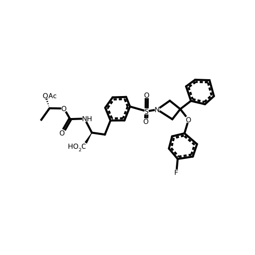 CC(=O)O[C@@H](C)OC(=O)N[C@@H](Cc1cccc(S(=O)(=O)N2CC(Oc3ccc(F)cc3)(c3ccccc3)C2)c1)C(=O)O